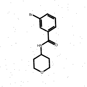 O=C(NC1CCOCC1)c1cccc(Br)c1